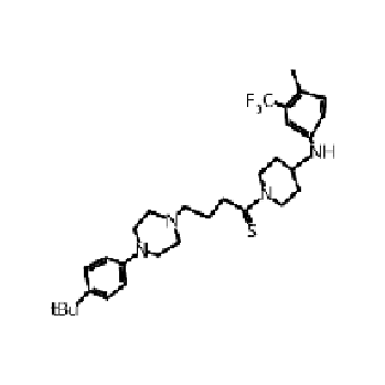 Cc1ccc(NC2CCN(C(=S)CCCN3CCN(c4ccc(C(C)(C)C)cc4)CC3)CC2)cc1C(F)(F)F